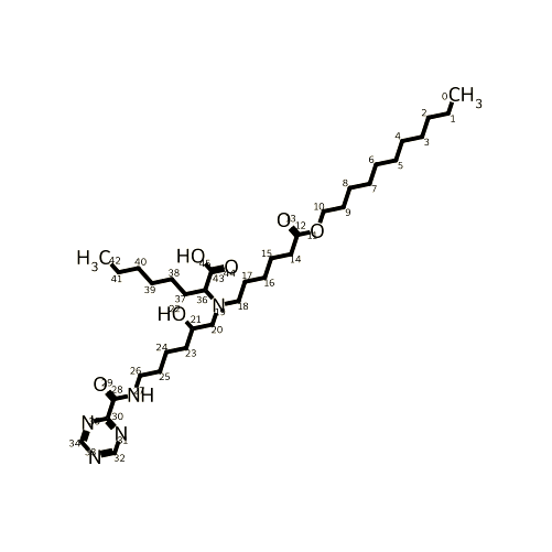 CCCCCCCCCCCOC(=O)CCCCCN(CC(O)CCCCNC(=O)c1ncncn1)C(CCCCCC)C(=O)O